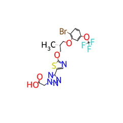 C[C@@H](COc1ncc(-c2nnn(CC(=O)O)n2)s1)COc1cc(OC(F)(F)F)ccc1Br